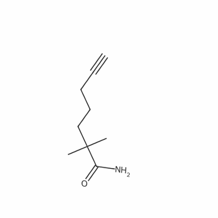 C#CCCCC(C)(C)C(N)=O